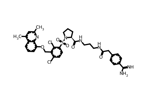 Cc1cc(C)c2cccc(OCc3c(Cl)ccc(S(=O)(=O)N4CCC[C@H]4C(=O)NCCCNC(=O)Cc4ccc(C(=N)N)cc4)c3Cl)c2n1